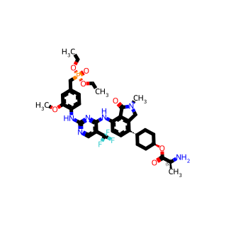 CCOP(=O)(Cc1ccc(Nc2ncc(C(F)(F)F)c(Nc3ccc([C@H]4CC[C@H](OC(=O)[C@H](C)N)CC4)c4c3C(=O)N(C)C4)n2)c(OC)c1)OCC